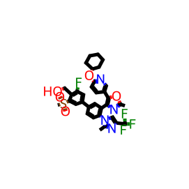 Cc1nc(-c2cc(-c3cc(F)c(CO)c(S(C)(=O)=O)c3)ccc2-n2cc(C(F)(F)F)nc2C)c(-c2ccc(OC3CCCCC3)nc2)o1